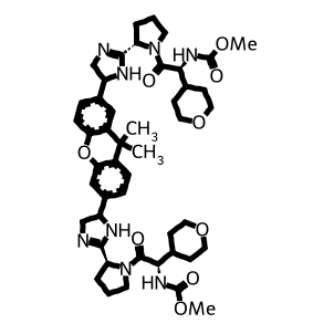 COC(=O)N[C@H](C(=O)N1CCC[C@H]1C1=NCC(c2ccc3c(c2)Oc2ccc(C4CN=C([C@@H]5CCCN5C(=O)[C@@H](NC(=O)OC)C5CCOCC5)N4)cc2C3(C)C)N1)C1CCOCC1